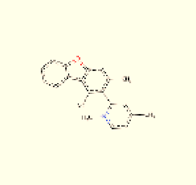 Cc1cc[n+](C)c(-c2c(C)cc3oc4ccccc4c3c2C#N)c1